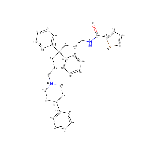 O=C(NCCCC(CCCN1CCC(c2ccccc2)CC1)(c1ccccc1)c1ccccc1)c1cccs1